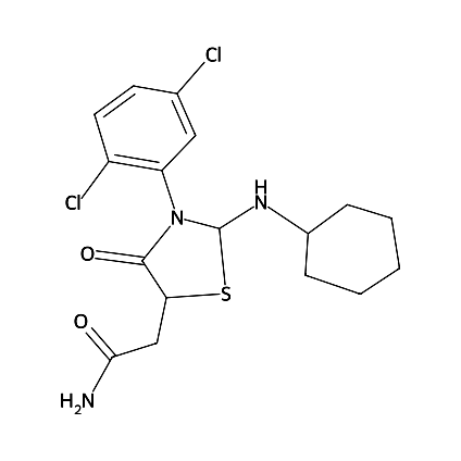 NC(=O)CC1SC(NC2CCCCC2)N(c2cc(Cl)ccc2Cl)C1=O